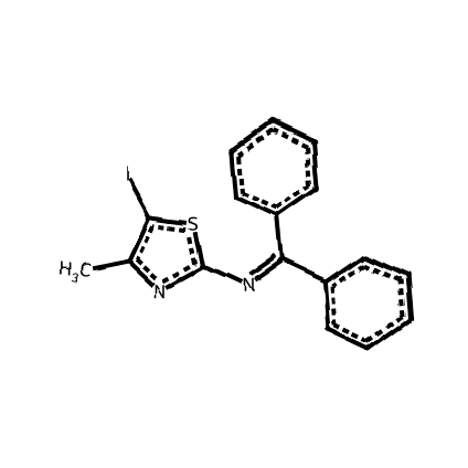 Cc1nc(N=C(c2ccccc2)c2ccccc2)sc1I